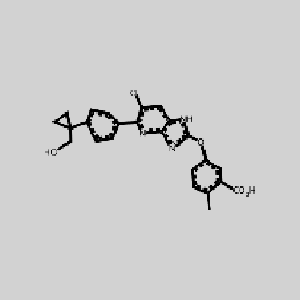 Cc1ccc(Oc2nc3nc(-c4ccc(C5(CO)CC5)cc4)c(Cl)cc3[nH]2)cc1C(=O)O